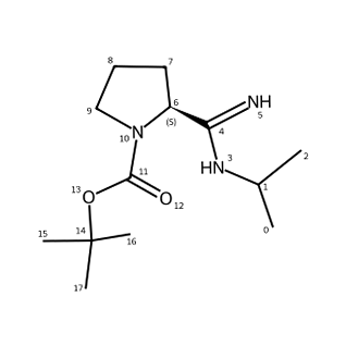 CC(C)NC(=N)[C@@H]1CCCN1C(=O)OC(C)(C)C